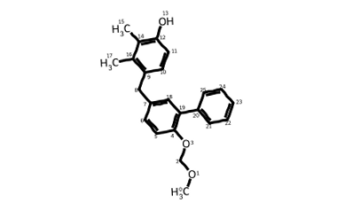 COCOc1ccc(Cc2ccc(O)c(C)c2C)cc1-c1ccccc1